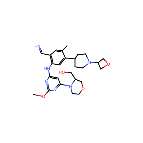 COc1nc(Nc2cc(C3CCN(C4COC4)CC3)c(C)cc2C=N)cc(N2CCOCC2CO)n1